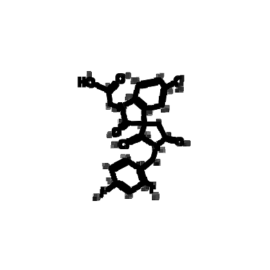 O=C(O)CN1C(=O)C2(CC(=O)N(Cc3ccc(F)cc3F)C2=O)c2cc(Cl)ccc21